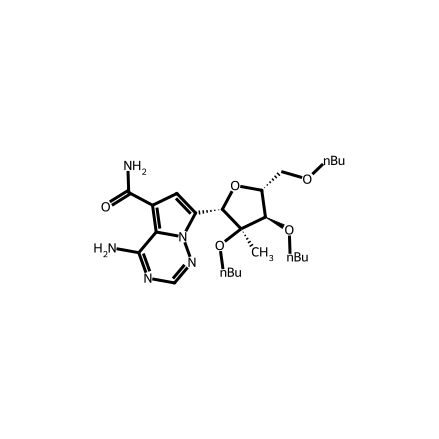 CCCCOC[C@H]1O[C@@H](c2cc(C(N)=O)c3c(N)ncnn23)[C@](C)(OCCCC)[C@@H]1OCCCC